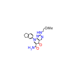 COCCNc1ncc2c(=O)c(C(N)=O)cn(-c3ccc4c(c3)CCC4)c2n1